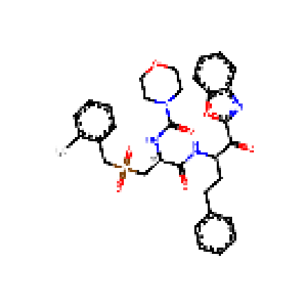 Cc1ccccc1CS(=O)(=O)C[C@@H](NC(=O)N1CCOCC1)C(=O)NC(CCc1ccccc1)C(=O)c1nc2ccccc2o1